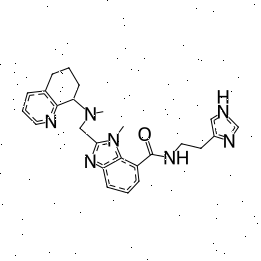 CN(Cc1nc2cccc(C(=O)NCCc3c[nH]cn3)c2n1C)C1CCCc2cccnc21